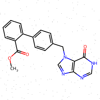 COC(=O)c1ccccc1-c1ccc(Cn2cnc3nc[nH]c(=O)c32)cc1